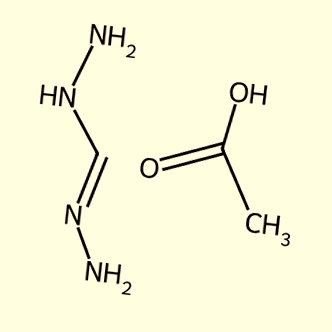 CC(=O)O.NN=CNN